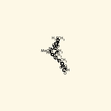 COc1ncc(-c2ccnc(N3CCn4c(cc5c4CC(C)(C)C5)C3=O)c2CO)nc1Nc1ccc(N2CCN(C3CCN(c4ccc5c(c4)C(=O)N(C4CCC(=O)NC4=O)C5=O)[C@@H](C)C3)C[C@@H]2C)c(C=CC(N)=O)c1